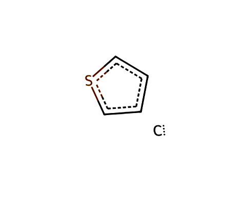 [C].c1ccsc1